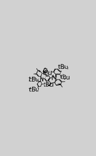 C=C1c2cc(C)c(C)cc2N(c2c(C(C)(C)C)cc(C(C)(C)C)cc2C(C)(C)C)c2cc3c(=O)c4cc(C)c(C)cc4n(-c4c(C(C)(C)C)cc(C(C)(C)C)cc4C(C)(C)C)c3cc21